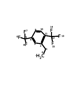 [CH2]Cc1cc(C(F)(F)F)ccc1C(F)(F)F